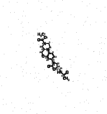 COC(=O)N1CCN2c3ccc(N4C[C@H](CNC(C)=O)OC4=O)cc3OCC2C1